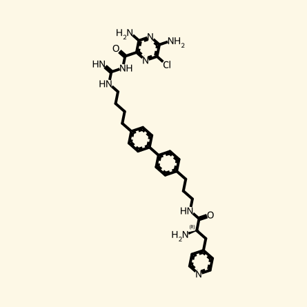 N=C(NCCCCc1ccc(-c2ccc(CCCNC(=O)[C@H](N)Cc3ccncc3)cc2)cc1)NC(=O)c1nc(Cl)c(N)nc1N